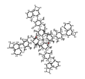 Fc1c(F)c(-c2cc3c(c4ccccc24)CC3)c(F)c(F)c1-c1c(F)c(F)c([B-](c2c(F)c(F)c(-c3c(F)c(F)c(-c4cc5c(c6ccccc46)CC5)c(F)c3F)c(F)c2F)(c2c(F)c(F)c(-c3c(F)c(F)c(-c4cc5c(c6ccccc46)CC5)c(F)c3F)c(F)c2F)c2c(F)c(F)c(-c3c(F)c(F)c(-c4cc5c(c6ccccc46)CC5)c(F)c3F)c(F)c2F)c(F)c1F